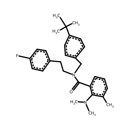 Cc1cccc(C(=O)N(CCc2ccc(F)cc2)Cc2ccc(C(C)(C)C)cc2)c1N(C)C